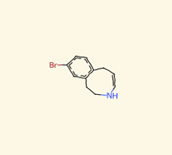 Brc1ccc2c(c1)CCN/C=C\C2